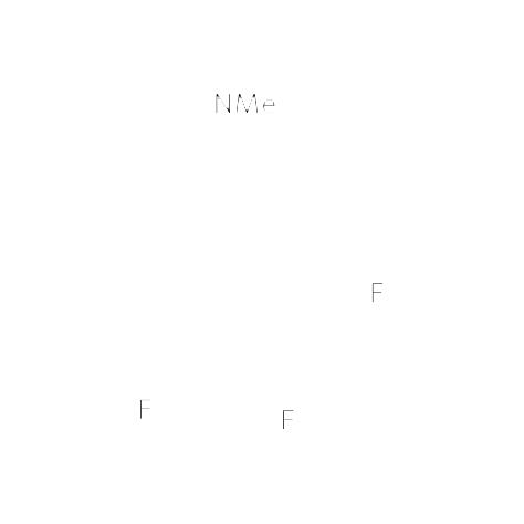 CNCc1cc(F)c(F)c(F)c1